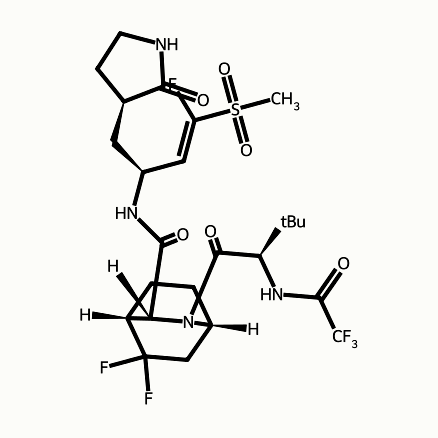 CC(C)(C)[C@@H](NC(=O)C(F)(F)F)C(=O)N1[C@@H]2CC[C@H]([C@@H]1C(=O)N[C@H](/C=C(\F)S(C)(=O)=O)C[C@H]1CCNC1=O)C(F)(F)C2